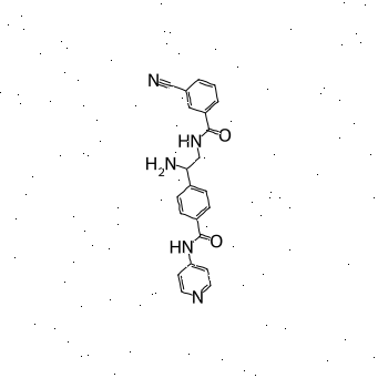 N#Cc1cccc(C(=O)NCC(N)c2ccc(C(=O)Nc3ccncc3)cc2)c1